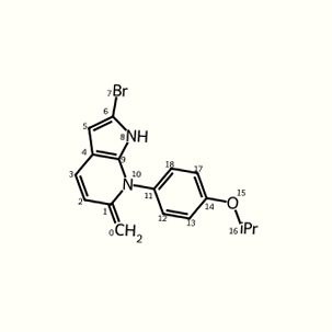 C=C1C=Cc2cc(Br)[nH]c2N1c1ccc(OC(C)C)cc1